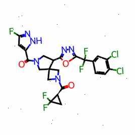 O=C(c1cc(F)n[nH]1)N1CC(c2nnc(C(F)(F)c3ccc(Cl)c(Cl)c3)o2)C2(C1)CN(C(=O)[C@H]1CC1(F)F)C2